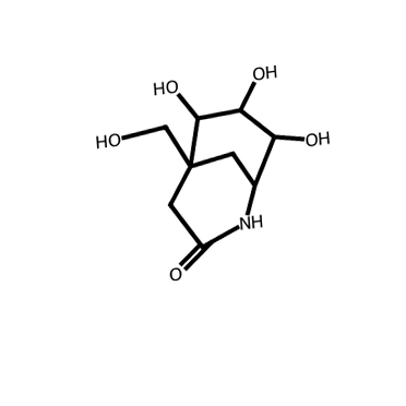 O=C1CC2(CO)CC(N1)C(O)C(O)C2O